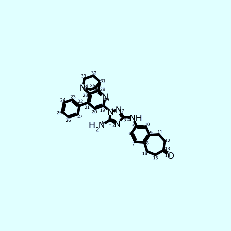 Nc1nc(Nc2ccc3c(c2)CCC(=O)CC3)nn1-c1cc(-c2ccccc2)c2c(n1)C1CCN2CC1